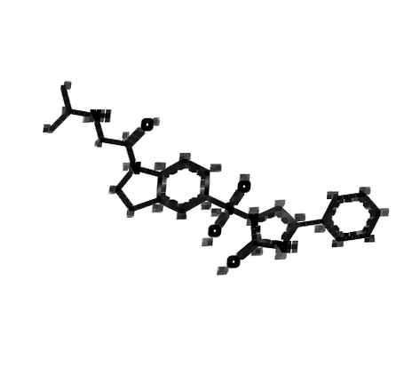 CC(C)NCC(=O)N1CCc2cc(S(=O)(=O)n3cc(-c4ccccc4)[nH]c3=O)ccc21